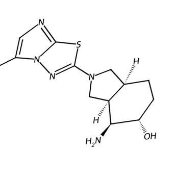 N[C@H]1[C@H]2CN(c3nn4c(I)cnc4s3)C[C@H]2CC[C@@H]1O